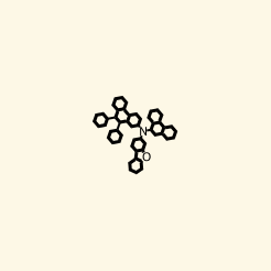 c1ccc(-c2c(-c3ccccc3)c3cc(N(c4ccc5c(c4)oc4ccccc45)c4cc5ccccc5c5ccccc45)ccc3c3ccccc23)cc1